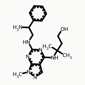 Cn1ncc2c(NC(C)(C)CCO)nc(NCC(N)c3ccccc3)nc21